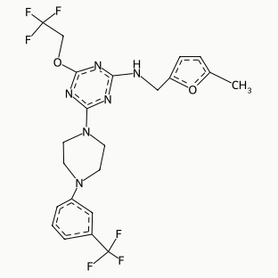 Cc1ccc(CNc2nc(OCC(F)(F)F)nc(N3CCN(c4cccc(C(F)(F)F)c4)CC3)n2)o1